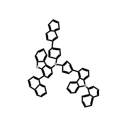 c1ccc2cc(-c3ccc(N(c4ccc(-c5cccc6c5c5ccccc5n6-c5cccc6ccccc56)cc4)c4ccc(-c5cccc6ccccc56)c5oc6ccccc6c45)cc3)ccc2c1